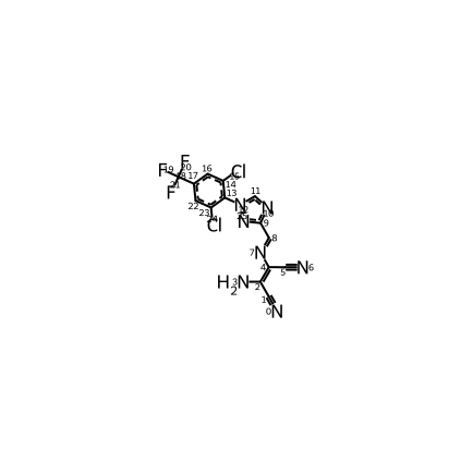 N#CC(N)=C(C#N)N=Cc1ncn(-c2c(Cl)cc(C(F)(F)F)cc2Cl)n1